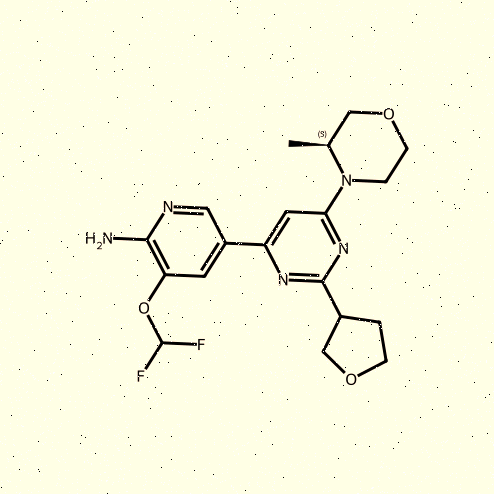 C[C@H]1COCCN1c1cc(-c2cnc(N)c(OC(F)F)c2)nc(C2CCOC2)n1